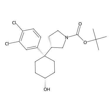 CC(C)(C)OC(=O)N1CC[C@@H]([C@]2(c3ccc(Cl)c(Cl)c3)CC[C@@H](O)CC2)C1